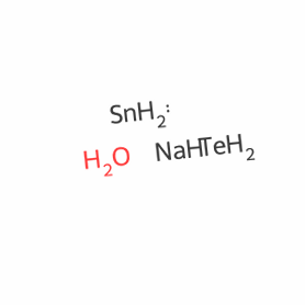 O.[NaH].[SnH2].[TeH2]